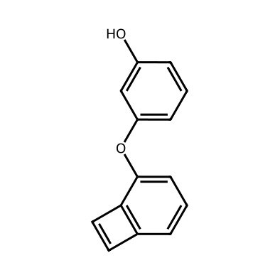 Oc1cccc(Oc2cccc3c2C=C3)c1